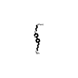 CCCCCC=CCCOc1ccc(-c2ccc(CCCCCOCCC)cc2)nc1